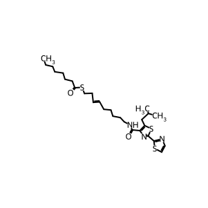 CCCCCCCC(=O)SCC/C=C/CCCCCNC(=O)c1nc(-c2nccs2)sc1CC(C)C